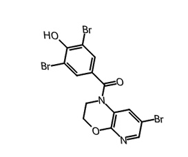 O=C(c1cc(Br)c(O)c(Br)c1)N1CCOc2ncc(Br)cc21